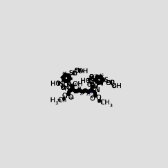 CCOC(=O)C1=NN(c2cc(SOOO)ccc2S(=O)(=O)O)C(=O)/C1=C\C=CC=Cc1c(C(=O)OCC)nn(-c2cc(SOOO)ccc2S(=O)O)c1O